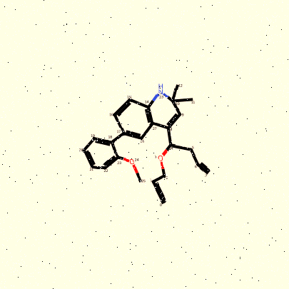 C=CCOC(CC=C)C1=CC(C)(C)Nc2ccc(-c3ccccc3OC)cc21